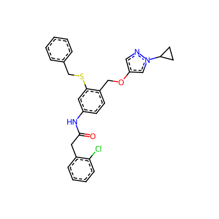 O=C(Cc1ccccc1Cl)Nc1ccc(COc2cnn(C3CC3)c2)c(SCc2ccccc2)c1